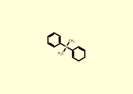 C[Si](C)(C1=CCCC=C1)c1ccccc1